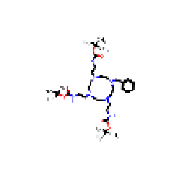 CC(C)(C)OC(=O)NCCN1CCN(CCNC(=O)OC(C)(C)C)CCN(Cc2ccccc2)CCN(CCNC(=O)OC(C)(C)C)CC1